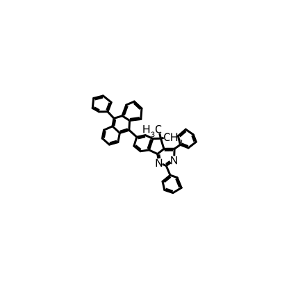 CC1(C)c2cc(-c3c4ccccc4c(-c4ccccc4)c4ccccc34)ccc2-c2nc(-c3ccccc3)nc(-c3ccccc3)c21